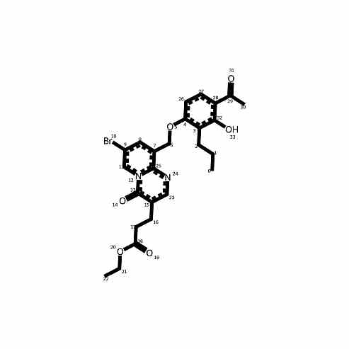 CCCc1c(OCc2cc(Br)cn3c(=O)c(CCC(=O)OCC)cnc23)ccc(C(C)=O)c1O